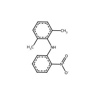 Cc1cccc(C)c1Nc1ccccc1[N+](=O)[O-]